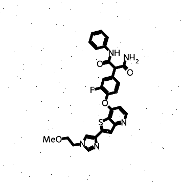 COCCn1cnc(-c2cc3nccc(Oc4ccc(C(C(N)=O)C(=O)Nc5ccccc5)cc4F)c3s2)c1